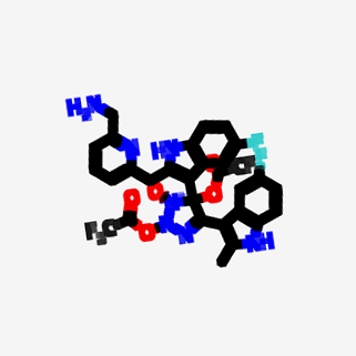 Cc1[nH]c2ccc(F)cc2c1C1=NN(OC(=O)C(F)(F)F)[N+](=O)C1(OC(=O)C(F)(F)F)c1c(Cc2cccc(CN)n2)[nH]c2ccc(F)cc12